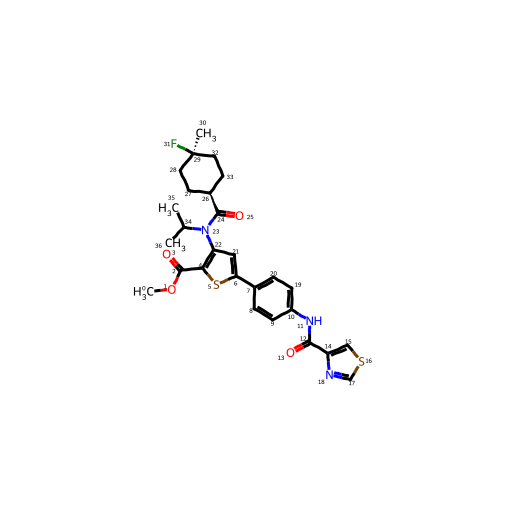 COC(=O)c1sc(-c2ccc(NC(=O)c3cscn3)cc2)cc1N(C(=O)[C@H]1CC[C@@](C)(F)CC1)C(C)C